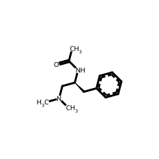 CC(=O)N[C@@H](Cc1ccccc1)CN(C)C